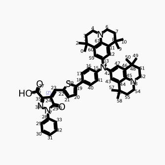 CC1(C)CCN2CCC(C)(C)c3cc(N(c4ccc(-c5ccc(/C=C6\C(=O)N(c7ccccc7)N=C6C(=O)O)s5)cc4)c4cc5c6c(c4)C(C)(C)CCN6CCC5(C)C)cc1c32